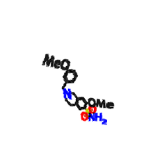 COc1cccc(CN2CCc3cc(S(N)(=O)=O)c(OC)cc3C2)c1